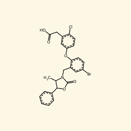 CC1C(c2ccccc2)OC(=O)N1Cc1cc(Br)ccc1Oc1ccc(Cl)c(CC(=O)O)c1